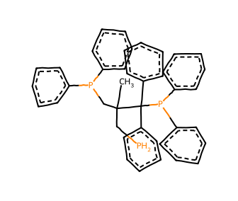 CC(CP)(CP(c1ccccc1)c1ccccc1)C(c1ccccc1)(c1ccccc1)P(c1ccccc1)c1ccccc1